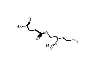 CCCC(CCOC(=O)CCC(C)=O)SC